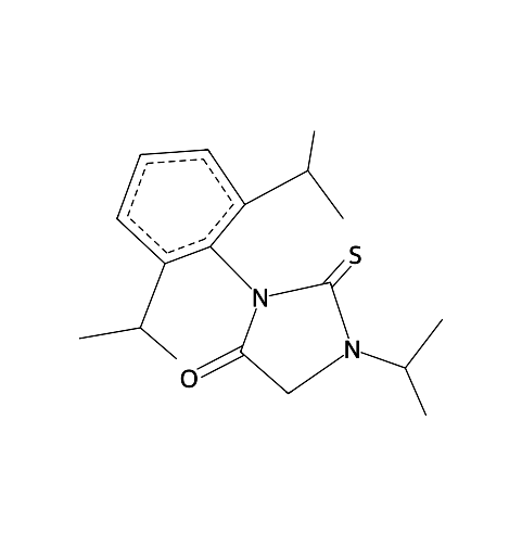 CC(C)c1cccc(C(C)C)c1N1C(=O)CN(C(C)C)C1=S